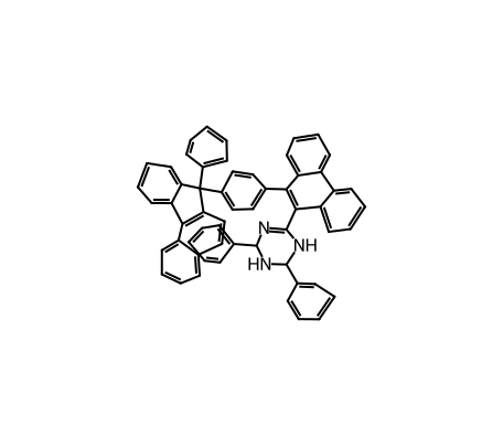 c1ccc(C2N=C(c3c(-c4ccc(C5(c6ccccc6)c6ccccc6-c6c5ccc5ccccc65)cc4)c4ccccc4c4ccccc34)NC(c3ccccc3)N2)cc1